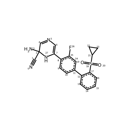 N#CC1(N)C=NC=C(c2ccc(-c3ccccc3S(=O)(=O)C3CC3)cc2F)N1